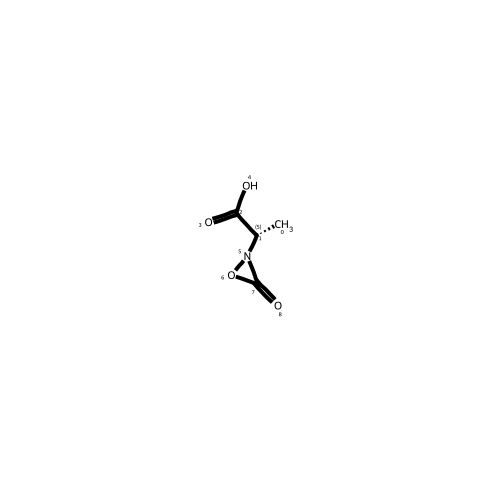 C[C@@H](C(=O)O)N1OC1=O